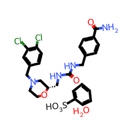 NC(=O)c1ccc(CNC(=O)NC[C@H]2CN(Cc3ccc(Cl)c(Cl)c3)CCO2)cc1.O.O=S(=O)(O)c1ccccc1